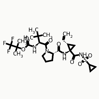 C=C[C@@H]1C[C@]1(NC(=O)[C@@H]1CCCN1C(=O)[C@@H](NC(=O)OC(C)(C)C(F)(F)F)C(C)(C)C)C(=O)NS(=O)(=O)C1CC1